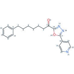 O=C(CCCCCCc1ccccc1)c1nnc(-c2ccncc2)o1